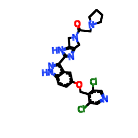 O=C(CN1CCCC1)N1Cc2nc(-c3n[nH]c4ccc(OCc5c(Cl)cncc5Cl)cc34)[nH]c2C1